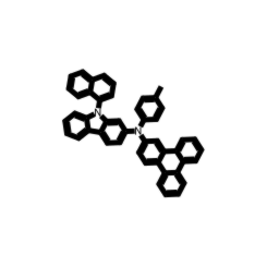 Cc1ccc(N(c2ccc3c4ccccc4c4ccccc4c3c2)c2ccc3c4ccccc4n(-c4cccc5ccccc45)c3c2)cc1